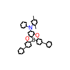 Cc1ccc(C)c(N(c2ccccc2)c2cc3c4c(c2)Oc2cc(-c5ccccc5)ccc2B4c2ccc(-c4ccccc4)cc2O3)c1